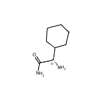 NC(=O)[C@@H](N)C1CCCCC1